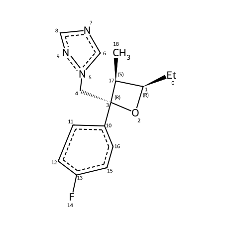 CC[C@H]1O[C@@](Cn2cncn2)(c2ccc(F)cc2)[C@H]1C